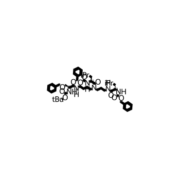 CC(C)C[C@H](NC(=O)OCc1ccccc1)C(=O)NCCCN(CCCCNC(=O)[C@H](COCc1ccccc1)NC(=O)OC(C)(C)C)C(=O)[C@H](CC(C)C)NC(=O)OCc1ccccc1